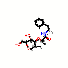 C[C@@H](Cc1ccccc1)NC(=O)[C@@H](C)OC1[C@H](O)C(CO)OC[C@@H]1C